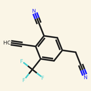 C#Cc1c(C#N)cc(CC#N)cc1C(F)(F)F